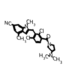 Cc1cc(C#N)cc2c1cc(Cc1c(Cl)ccc(C(=O)N3CCC(N(C)C)C3)c1Cl)n2C